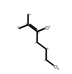 CC(C)=C(Cl)CCCCl